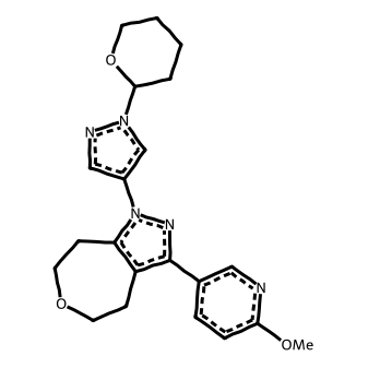 COc1ccc(-c2nn(-c3cnn(C4CCCCO4)c3)c3c2CCOCC3)cn1